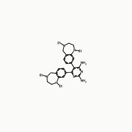 CCN1CCN(CC)c2cc(-c3nc(N)nc(N)c3-c3ccc4c(c3)N(CC)CCN(CC)C4)ccc2C1